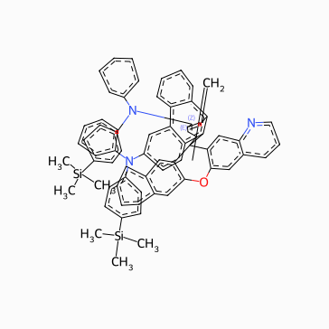 C=C1/C=C\C(N(c2ccccc2)c2ccc([Si](C)(C)C)cc2)=C/CC2(c3cc4ccccc4cc3Oc3cc4cccnc4cc32)c2c1c1ccccc1c1cc(N(c3ccccc3)c3ccc([Si](C)(C)C)cc3)ccc21